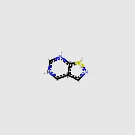 [c]1nsc2ncncc12